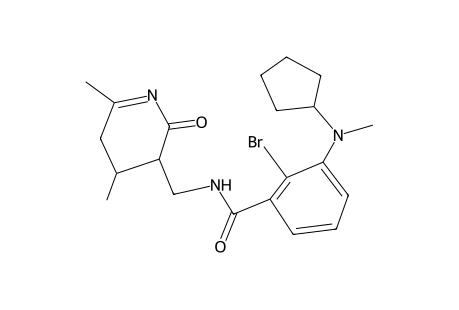 CC1=NC(=O)C(CNC(=O)c2cccc(N(C)C3CCCC3)c2Br)C(C)C1